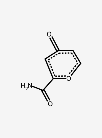 NC(=O)c1cc(=O)cco1